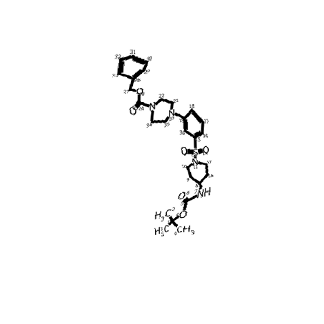 CC(C)(C)OC(=O)NC1CCN(S(=O)(=O)c2cccc(N3CCN(C(=O)OCc4ccccc4)CC3)c2)CC1